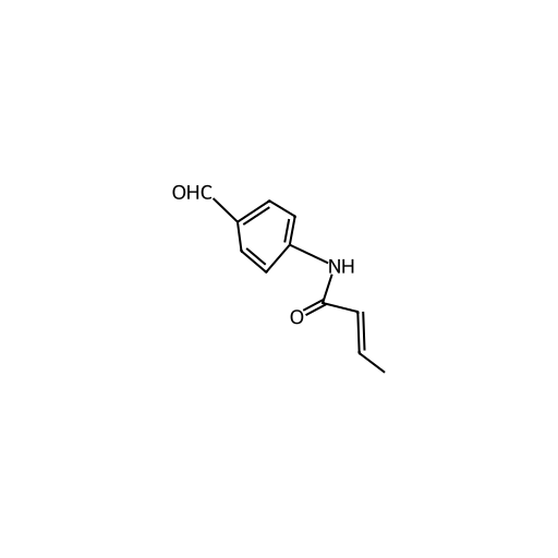 C/C=C/C(=O)Nc1ccc(C=O)cc1